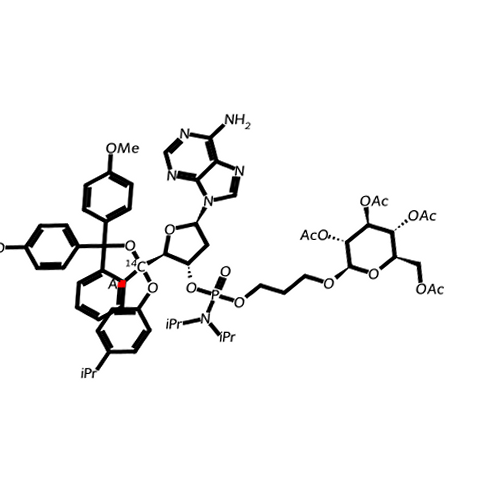 COc1ccc(C(O[14C](Oc2ccc(C(C)C)cc2)(C(C)=O)[C@H]2O[C@@H](n3cnc4c(N)ncnc43)C[C@@H]2OP(=O)(OCCCO[C@@H]2O[C@H](COC(C)=O)[C@@H](OC(C)=O)[C@H](OC(C)=O)[C@H]2OC(C)=O)N(C(C)C)C(C)C)(c2ccccc2)c2ccc(OC)cc2)cc1